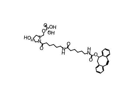 O=C(CCCCCNC(=O)OC1Cc2ccccc2C#Cc2ccccc21)NCCCCCC(=O)N1C[C@H](O)C[C@H]1COP(=O)(O)O